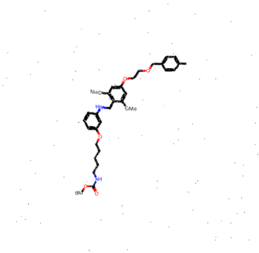 COc1cc(OCCOCc2ccc(C)cc2)cc(OC)c1CNc1cccc(OCCCCCNC(=O)OC(C)(C)C)c1